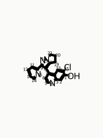 Oc1cc2nccc(-c3c(-c4ccccn4)nn4c3CCC4)c2cc1Cl